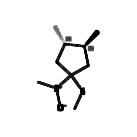 CSC1([S+](C)[O-])C[C@H](C)[C@@H](C)C1